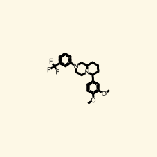 COc1ccc(C2CCCC3CN(c4cccc(C(F)(F)F)c4)CCN32)cc1OC